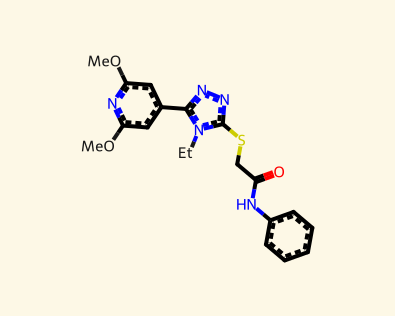 CCn1c(SCC(=O)Nc2ccccc2)nnc1-c1cc(OC)nc(OC)c1